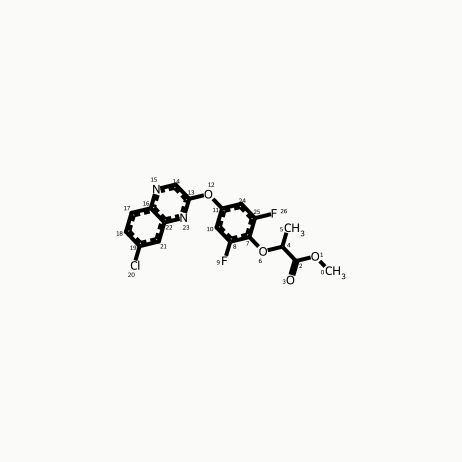 COC(=O)C(C)Oc1c(F)cc(Oc2cnc3ccc(Cl)cc3n2)cc1F